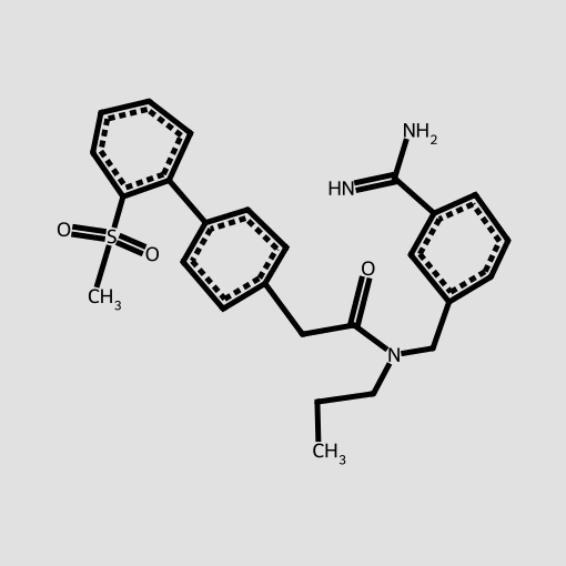 CCCN(Cc1cccc(C(=N)N)c1)C(=O)Cc1ccc(-c2ccccc2S(C)(=O)=O)cc1